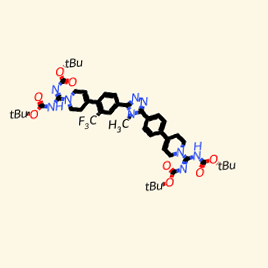 Cn1c(-c2ccc(C3=CCN(/C(=N\C(=O)OC(C)(C)C)NC(=O)OC(C)(C)C)CC3)cc2)nnc1-c1ccc(C2=CCN(/C(=N\C(=O)OC(C)(C)C)NC(=O)OC(C)(C)C)CC2)c(C(F)(F)F)c1